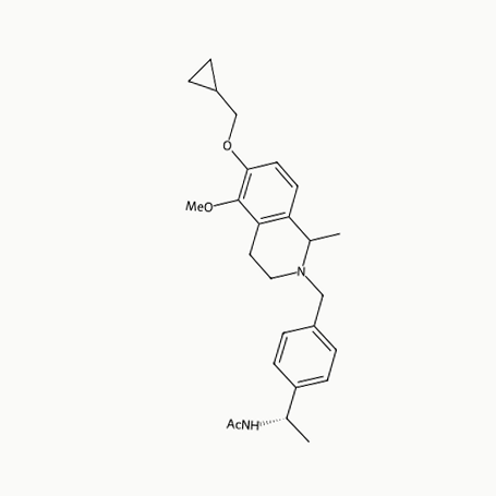 COc1c(OCC2CC2)ccc2c1CCN(Cc1ccc([C@H](C)NC(C)=O)cc1)C2C